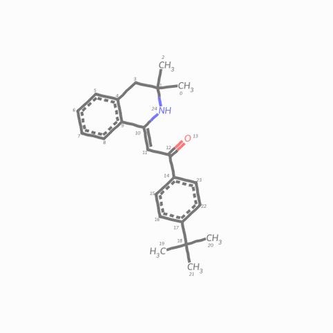 CC1(C)Cc2ccccc2C(=CC(=O)c2ccc(C(C)(C)C)cc2)N1